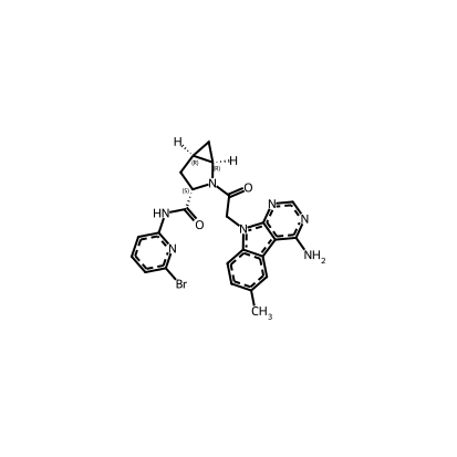 Cc1ccc2c(c1)c1c(N)ncnc1n2CC(=O)N1[C@@H]2C[C@@H]2C[C@H]1C(=O)Nc1cccc(Br)n1